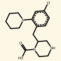 O=C(O)N1CCNCC1Cc1ccc(Cl)cc1N1CCCCC1